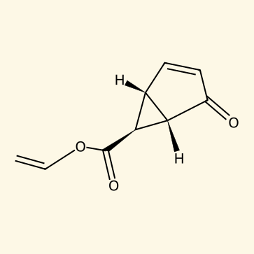 C=COC(=O)[C@H]1[C@@H]2C=CC(=O)[C@@H]21